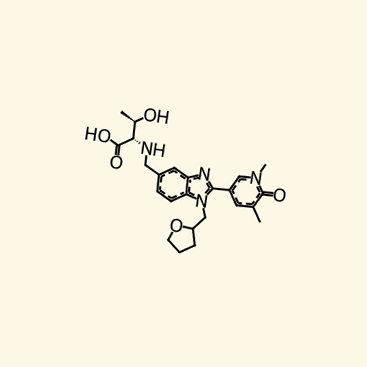 Cc1cc(-c2nc3cc(CN[C@H](C(=O)O)[C@@H](C)O)ccc3n2CC2CCCO2)cn(C)c1=O